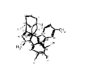 Cc1ccn2c(C(=O)N3[C@H]4CCC[C@@H]3c3nn(C)c(-c5cc(F)c(F)c(F)c5)c3C4)cnc2c1